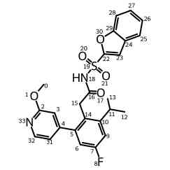 COc1cc(-c2cc(F)cc(C(C)C)c2CC(=O)NS(=O)(=O)c2cc3ccccc3o2)ccn1